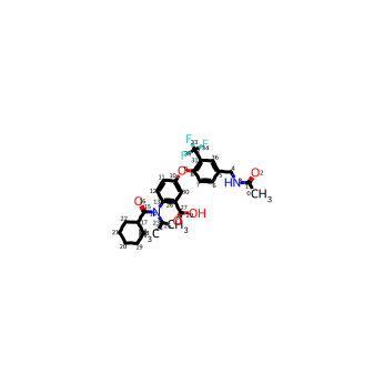 CC(=O)NCc1ccc(Oc2ccc(N(C(=O)C3CCCCC3)C(C)C)c(C(=O)O)c2)c(C(F)(F)F)c1